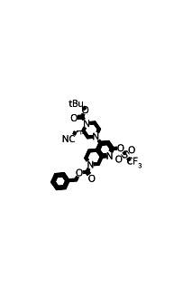 CC(C)(C)OC(=O)N1CCN(c2cc(OS(=O)(=O)C(F)(F)F)nc3c2CCN(C(=O)OCc2ccccc2)C3)C[C@@H]1CC#N